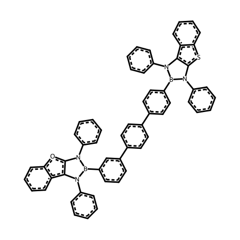 c1ccc(N2B(c3cccc(-c4ccc(-c5ccc(B6N(c7ccccc7)c7sc8ccccc8c7N6c6ccccc6)cc5)cc4)c3)N(c3ccccc3)c3c2oc2ccccc32)cc1